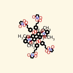 CC(C)c1cccc(C(C)C)c1N1C(=O)c2cc(Oc3ccc(CCC(=O)CN4C(=O)CCC4=O)cc3)c3c4c(Oc5ccc(CCC(=O)ON6C(=O)CCC6=O)cc5)cc5c6c(cc(Oc7ccc(CCC(=O)ON8C(=O)CCC8=O)cc7)c(c7c(Oc8ccc(CCC(=O)ON9C(=O)CCC9=O)cc8)cc(c2c37)C1=O)c64)C(=O)N(c1c(C(C)C)cccc1C(C)C)C5=O